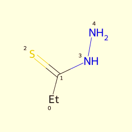 CCC(=S)NN